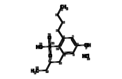 CCCCc1cc(O)cc(CCCC)c1S(=O)(=O)O.Cl